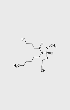 C#CCOP(=O)(SC)N(CCCCCC)C(=O)CCCBr